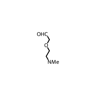 CNCCOCC=O